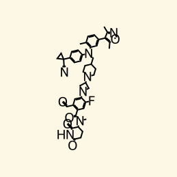 Cc1ccc(-c2c(C)noc2C)cc1N(CC1CCN(C2CN(c3cc(C=O)c(C(=O)N(C)C4CCC(=O)NC4=O)cc3F)C2)CC1)c1ccc(C2(C#N)CC2)cc1